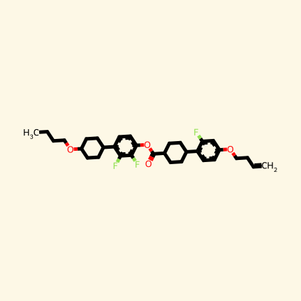 C=CCCOc1ccc(C2CCC(C(=O)Oc3ccc(C4CCC(OCCCC)CC4)c(F)c3F)CC2)c(F)c1